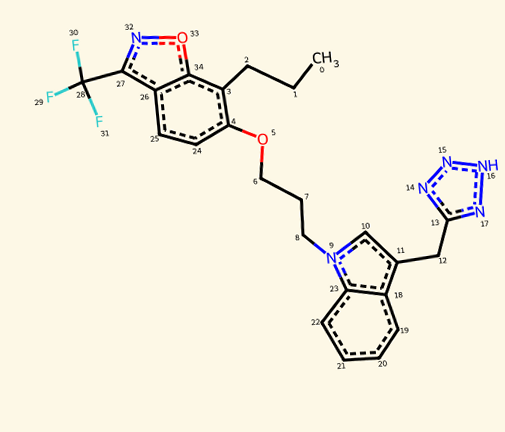 CCCc1c(OCCCn2cc(Cc3nn[nH]n3)c3ccccc32)ccc2c(C(F)(F)F)noc12